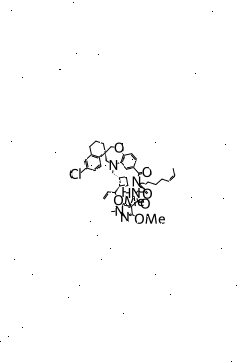 C=CC(OC)[C@@H]1CC[C@H]1CN1C[C@@]2(CCCc3cc(Cl)ccc32)COc2ccc(C(=O)N=S(=O)(CCC/C=C\C)NC(=O)c3cn(C)nc3OC)cc21